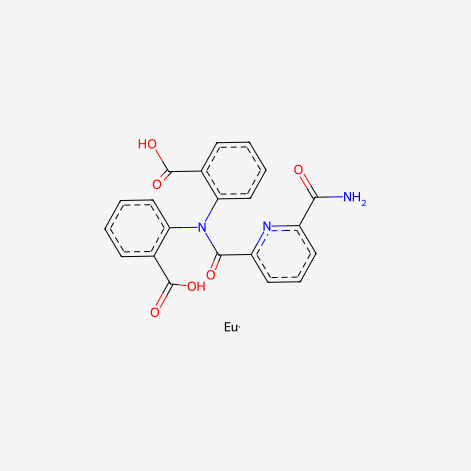 NC(=O)c1cccc(C(=O)N(c2ccccc2C(=O)O)c2ccccc2C(=O)O)n1.[Eu]